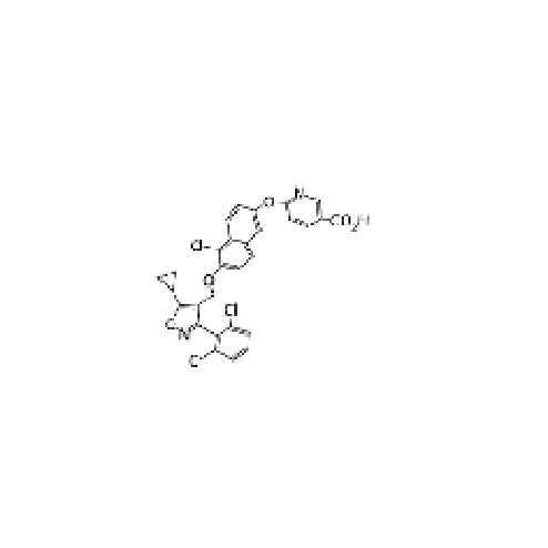 O=C(O)c1ccc(Oc2ccc3c(Cl)c(OCc4c(-c5c(Cl)cccc5Cl)noc4C4CC4)ccc3c2)nc1